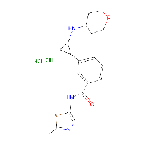 Cc1ncc(NC(=O)c2cccc(C3CC3NC3CCOCC3)c2)s1.Cl.Cl